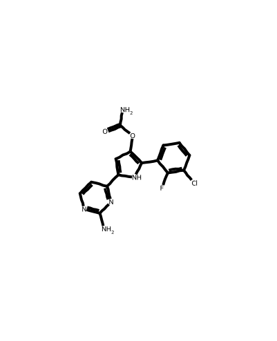 NC(=O)Oc1cc(-c2ccnc(N)n2)[nH]c1-c1cccc(Cl)c1F